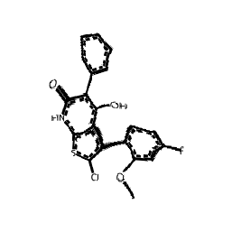 COc1cc(F)ccc1-c1c(Cl)sc2[nH]c(=O)c(-c3ccccc3)c(O)c12